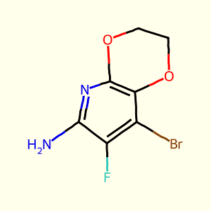 Nc1nc2c(c(Br)c1F)OCCO2